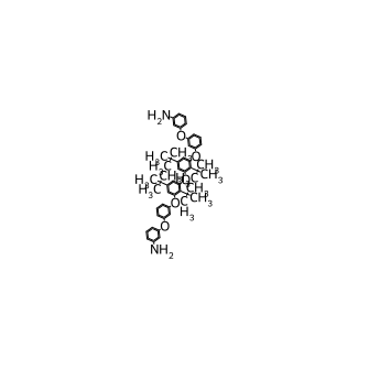 CC(C)(C)c1cc(Oc2cccc(Oc3cccc(N)c3)c2)c(C(C)(C)C)c(Oc2cc(C(C)(C)C)cc(Oc3cccc(Oc4cccc(N)c4)c3)c2C(C)(C)C)c1